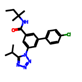 CCC(C)(C)NC(=O)c1cc(-c2ccc(Cl)cc2)cc(-n2nnnc2C(C)C)c1